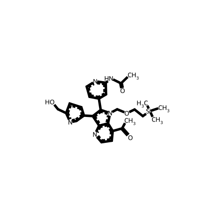 CC(=O)Nc1cc(-c2c(-c3ccc(CO)nc3)c3nccc(C(C)=O)c3n2COCC[Si](C)(C)C)ccn1